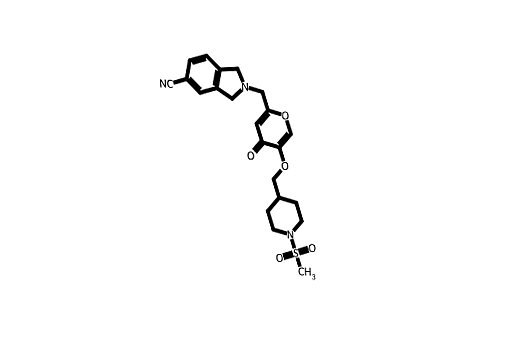 CS(=O)(=O)N1CCC(COc2coc(CN3Cc4ccc(C#N)cc4C3)cc2=O)CC1